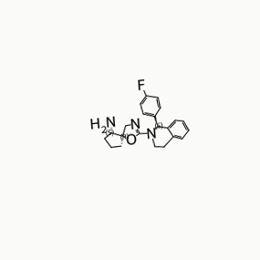 N[C@H]1CCC[C@@]12CN=C(N1CCc3ccccc3[C@@H]1c1ccc(F)cc1)O2